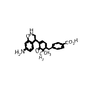 CC1(C)C(=O)C(C2CNOc3cc(N)ccc32)=CC=C1Cc1ccc(C(=O)O)cc1